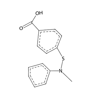 CN(Sc1ccc(C(=O)O)cc1)c1ccccc1